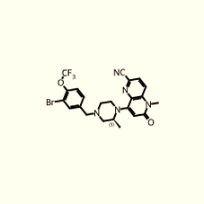 C[C@H]1CN(Cc2ccc(OC(F)(F)F)c(Br)c2)CCN1c1cc(=O)n(C)c2ccc(C#N)nc12